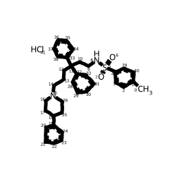 Cc1ccc(S(=O)(=O)NCCC(CCCN2CCC(c3ccccc3)CC2)(c2ccccc2)c2ccccc2)cc1.Cl